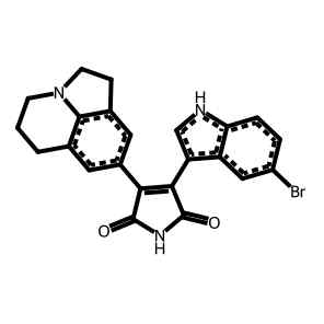 O=C1NC(=O)C(c2c[nH]c3ccc(Br)cc23)=C1c1cc2c3c(c1)CCN3CCC2